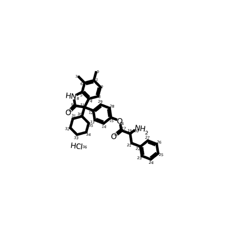 Cc1ccc2c(c1C)NC(=O)C2(c1ccc(OC(=O)C(N)Cc2ccccc2)cc1)C1CCCCC1.Cl